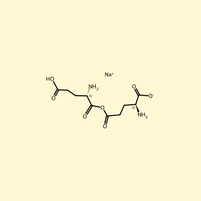 N[C@@H](CCC(=O)OC(=O)[C@@H](N)CCC(=O)O)C(=O)[O-].[Na+]